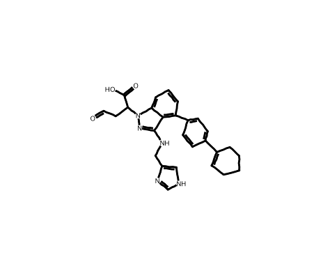 O=CCC(C(=O)O)n1nc(NCc2c[nH]cn2)c2c(-c3ccc(C4=CCCCC4)cc3)cccc21